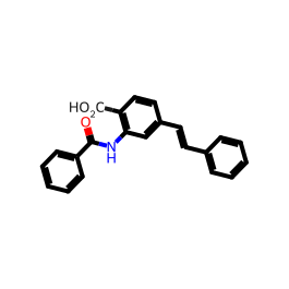 O=C(Nc1cc(C=Cc2ccccc2)ccc1C(=O)O)c1ccccc1